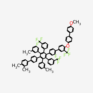 COc1ccc(-c2ccc(Oc3ccc(-c4ccc(-c5c(-c6cccc(C(F)(F)F)c6)c(-c6cccc(C)c6)c(-c6ccc(-c7ccc(C)c(C)c7)cc6)c(-c6cccc(C)c6)c5-c5cccc(C(F)(F)F)c5)cc4)cc3C(F)(F)F)cc2)cc1